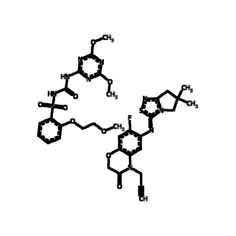 C#CCN1C(=O)COc2cc(F)c(/N=c3\snc4n3CC(C)(C)C4)cc21.COCCOc1ccccc1S(=O)(=O)NC(=O)Nc1nc(OC)nc(OC)n1